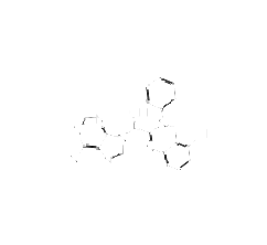 CC(C1=Nc2cccc(Cl)c2SN1c1ccccc1)n1cnc2c(N)ncnc21